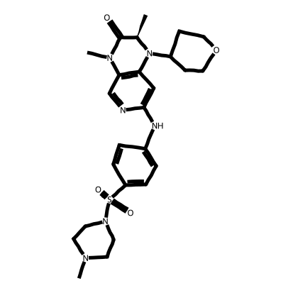 C[C@@H]1C(=O)N(C)c2cnc(Nc3ccc(S(=O)(=O)N4CCN(C)CC4)cc3)cc2N1C1CCOCC1